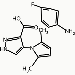 Cc1ccc(C)n1-c1c[nH]nc1C(=O)O.Nc1ccc(F)cc1